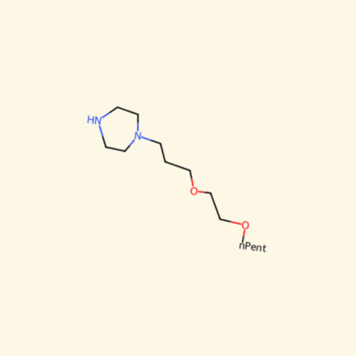 CCCCCOCCOCCCN1CCNCC1